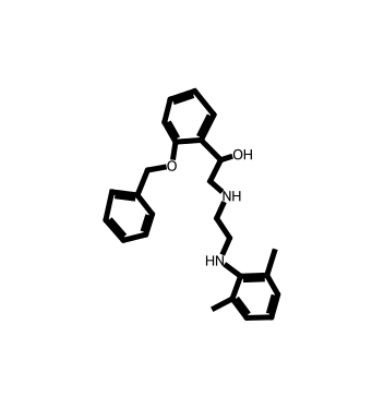 Cc1cccc(C)c1NCCNCC(O)c1ccccc1OCc1ccccc1